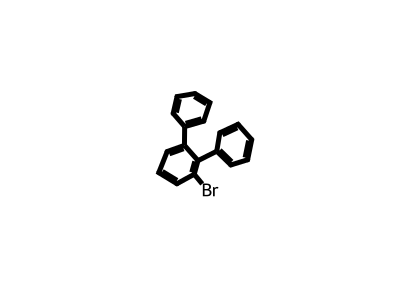 Brc1cccc(-c2ccccc2)c1-c1ccccc1